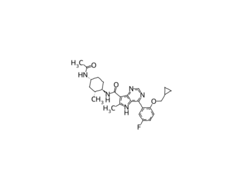 CC(=O)N[C@@H]1CC[C@@H](NC(=O)c2c(C)[nH]c3c(-c4cc(F)ccc4OCC4CC4)ncnc23)[C@H](C)C1